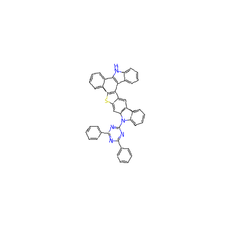 c1ccc(-c2nc(-c3ccccc3)nc(-n3c4ccccc4c4cc5c(cc43)sc3c4ccccc4c4[nH]c6ccccc6c4c53)n2)cc1